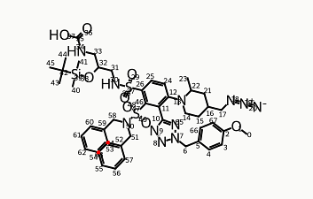 COc1ccc(Cn2nnc(-c3c(N4CCC(CN=[N+]=[N-])CC4C)ccc(S(=O)(=O)NCC(CNC(=O)O)O[Si](C)(C)C(C)(C)C)c3S(=O)(=O)N(Cc3ccccc3)Cc3ccccc3)n2)cc1